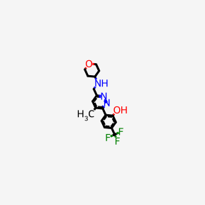 Cc1cc(CNC2CCOCC2)nnc1-c1ccc(C(F)(F)F)cc1O